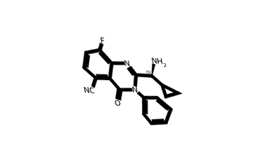 N#Cc1ccc(F)c2nc([C@@H](N)C3CC3)n(-c3ccccc3)c(=O)c12